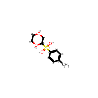 Cc1ccc(S(=O)(=O)C2COCCO2)cc1